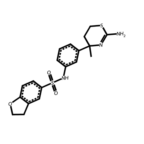 CC1(c2cccc(NS(=O)(=O)c3ccc4c(c3)CCO4)c2)CCSC(N)=N1